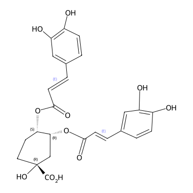 O=C(/C=C/c1ccc(O)c(O)c1)O[C@H]1CC[C@](O)(C(=O)O)C[C@H]1OC(=O)/C=C/c1ccc(O)c(O)c1